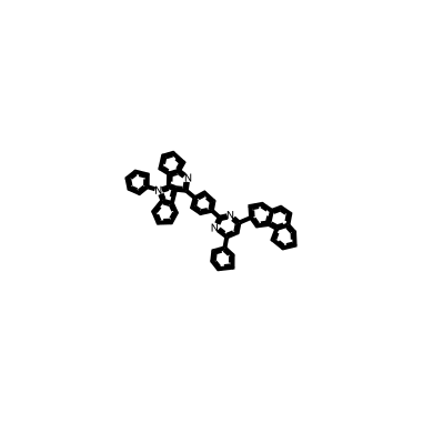 c1ccc(-c2cc(-c3ccc4ccc5ccccc5c4c3)nc(-c3ccc(-c4nc5ccccc5c5c4c4ccccc4n5-c4ccccc4)cc3)n2)cc1